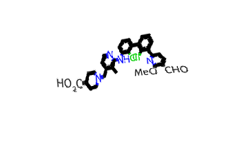 COc1nc(-c2cccc(-c3cccc(Nc4nccc(CN5CCC(C(=O)O)CC5)c4C)c3Cl)c2Cl)ccc1C=O